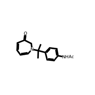 CC(=O)Nc1ccc(C(C)(C)N2C=CC=CC(=O)C2)cc1